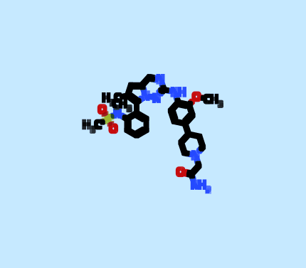 COc1cc(C2CCN(CC(N)=O)CC2)ccc1Nc1ncc2cc(C)c(-c3ccccc3N(C)S(C)(=O)=O)n2n1